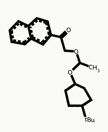 CC(OCC(=O)c1ccc2ccccc2c1)OC1CCC(C(C)(C)C)CC1